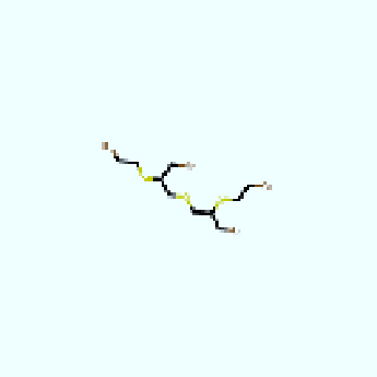 BrCCSC(CBr)CSCC(CBr)SCCBr